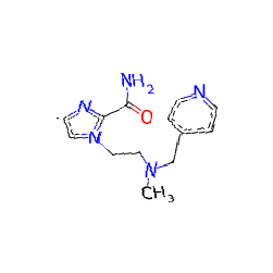 CN(CCn1c[c]nc1C(N)=O)Cc1ccncc1